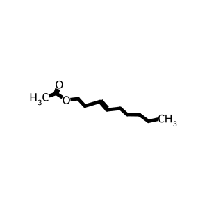 CCCCC/C=C/CCOC(C)=O